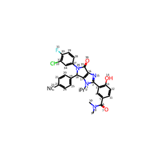 CC(C)n1c(-c2cc(C(=O)N(C)C)ccc2O)nc2c1C(c1ccc(C#N)cc1)N(c1ccc(F)c(Cl)c1)C2=O